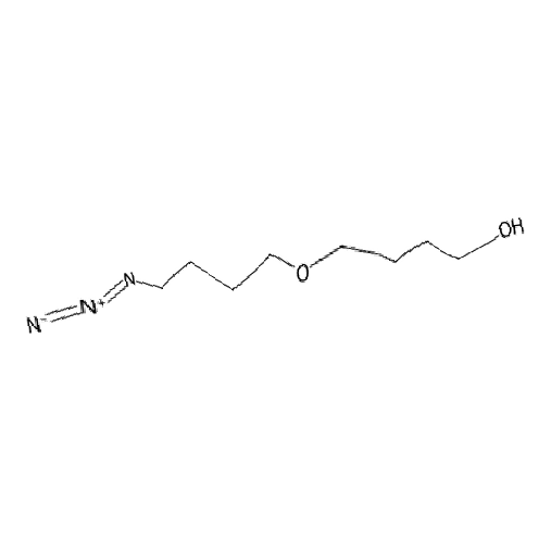 [N-]=[N+]=NCCCCOCCCCO